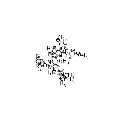 COc1ccc(CN(Cc2ccc(OC)cc2)c2cc(C)c(C(F)(F)F)c(C3Cc4nc(OC[C@@]56CCCN5C[C@H](F)C6)nc(N(C)CC5CN(C(C)(C)C)C5)c4CC3C)n2)cc1